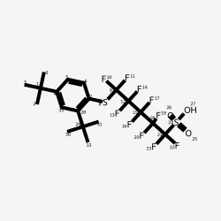 CC(C)(C)c1ccc(SC(F)(F)C(F)(F)C(F)(F)C(F)(F)C(F)(F)S(=O)(=O)O)c(C(C)(C)C)c1